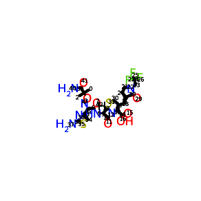 CC(C)(O/N=C(\C(=O)N[C@@H]1C(=O)N2C(C(=O)O)=C(C=C3CCN(CC(F)(F)F)C3=O)CS[C@H]12)c1csc(N)n1)C(N)=O